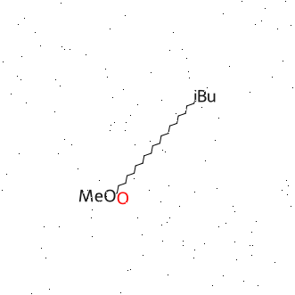 CCC(C)CCCCCCCCCCCCCCCCCCC(=O)OC